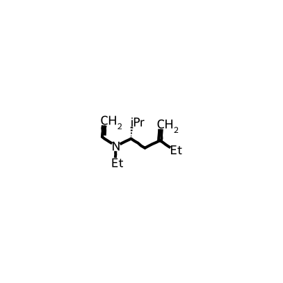 C=CN(CC)[C@@H](CC(=C)CC)C(C)C